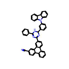 N#Cc1ccc2c3ccccc3c3ccc(C4=NC(c5cccc(-n6c7ccccc7c7ccccc76)c5)NC(c5ccccc5)=N4)cc3c2c1